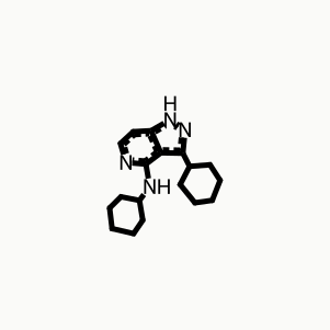 c1cc2[nH]nc(C3CCCCC3)c2c(NC2CCCCC2)n1